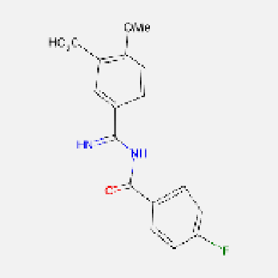 COc1ccc(C(=N)NC(=O)c2ccc(F)cc2)cc1C(=O)O